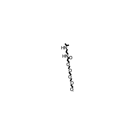 COCCOCCOCCOCCOCCC(=O)NCCCNC(C)C